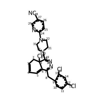 CC12CC=CC=C1C(Cc1ccc(Cl)cc1Cl)=NN=C2N1CCN(c2ccc(C#N)cn2)CC1